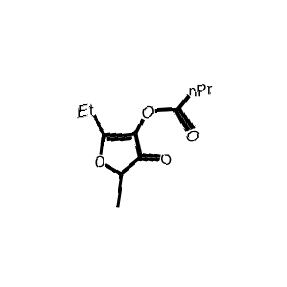 CCCC(=O)OC1=C(CC)OC(C)C1=O